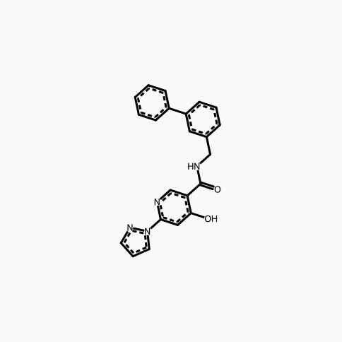 O=C(NCc1cccc(-c2ccccc2)c1)c1cnc(-n2cccn2)cc1O